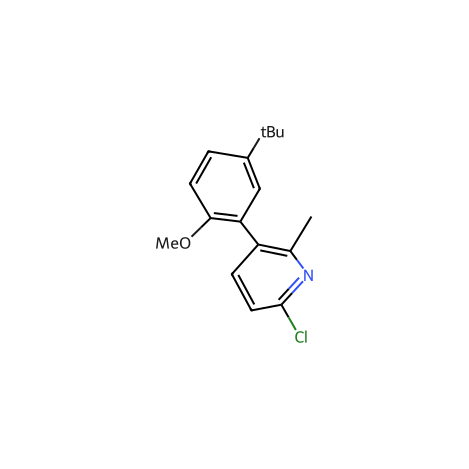 COc1ccc(C(C)(C)C)cc1-c1ccc(Cl)nc1C